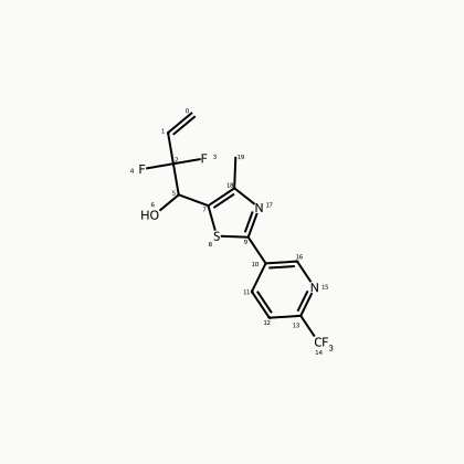 C=CC(F)(F)C(O)c1sc(-c2ccc(C(F)(F)F)nc2)nc1C